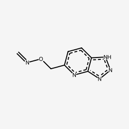 C=NOCc1ccc2[nH]nnc2n1